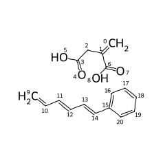 C=C(CC(=O)O)C(=O)O.C=CC=CC=Cc1ccccc1